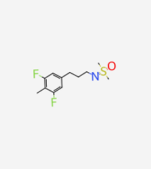 Cc1c(F)cc(CCCN=S(C)(C)=O)cc1F